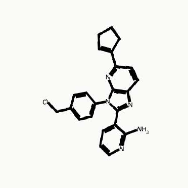 Nc1ncccc1-c1nc2ccc(C3=CCCC3)nc2n1-c1ccc(CCl)cc1